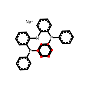 [Na+].c1ccc(P(c2ccccc2)c2ccccc2[N-]c2ccccc2P(c2ccccc2)c2ccccc2)cc1